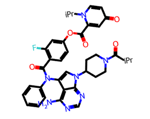 CC(C)C(=O)N1CCC(n2cc(N(C(=O)c3ccc(OC(=O)c4cc(=O)ccn4C(C)C)cc3F)c3ccccc3)c3c(N)ncnc32)CC1